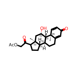 CC(=O)OCC(=O)C1CC[C@H]2[C@@H]3CCC4=CC(=O)C=C[C@]4(C)[C@H]3[C@@H](O)C[C@]12C